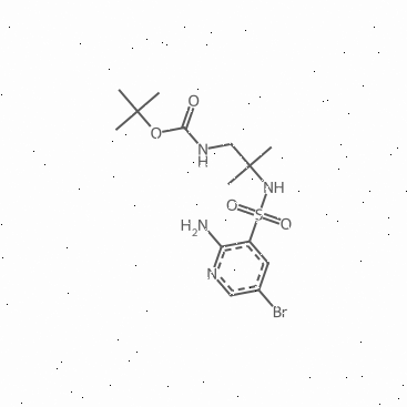 CC(C)(CNC(=O)OC(C)(C)C)NS(=O)(=O)c1cc(Br)cnc1N